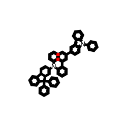 C1=CC2c3ccccc3C(c3ccccc3)(c3ccccc3)C2C=C1N(c1ccccc1)c1ccccc1-c1cccc(-c2ccc3c(c2)c2ccccc2n3-c2ccccc2)c1